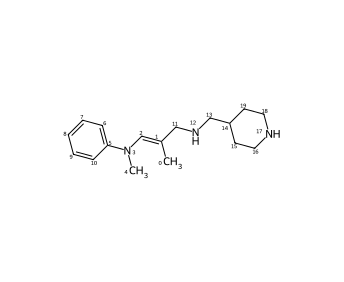 C/C(=C\N(C)c1ccccc1)CNCC1CCNCC1